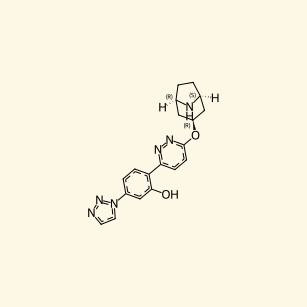 Oc1cc(-n2ccnn2)ccc1-c1ccc(O[C@H]2C[C@H]3CC[C@@H](C2)N3)nn1